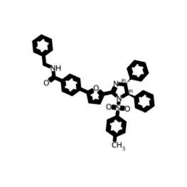 Cc1ccc(S(=O)(=O)N2C(c3ccc(-c4ccc(C(=O)NCc5ccccc5)cc4)o3)=N[C@H](c3ccccc3)[C@H]2c2ccccc2)cc1